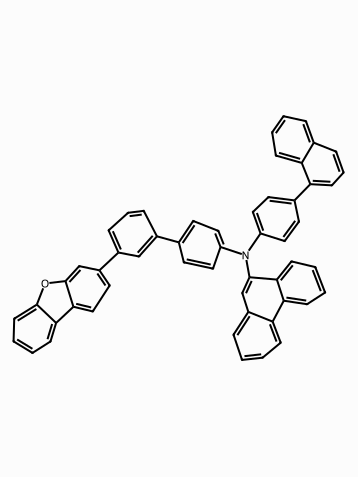 c1cc(-c2ccc(N(c3ccc(-c4cccc5ccccc45)cc3)c3cc4ccccc4c4ccccc34)cc2)cc(-c2ccc3c(c2)oc2ccccc23)c1